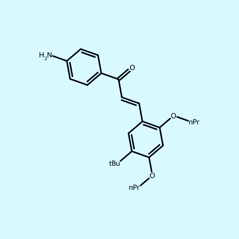 CCCOc1cc(OCCC)c(C(C)(C)C)cc1C=CC(=O)c1ccc(N)cc1